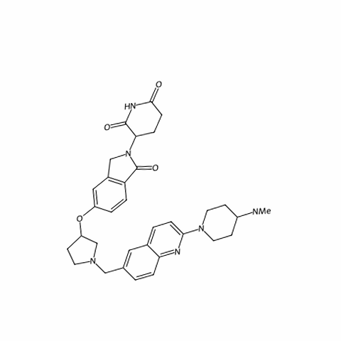 CNC1CCN(c2ccc3cc(CN4CCC(Oc5ccc6c(c5)CN(C5CCC(=O)NC5=O)C6=O)C4)ccc3n2)CC1